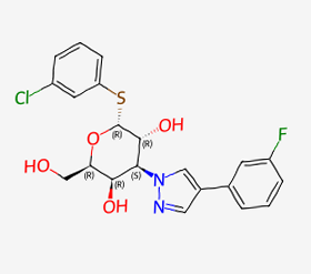 OC[C@H]1O[C@H](Sc2cccc(Cl)c2)[C@H](O)[C@@H](n2cc(-c3cccc(F)c3)cn2)[C@H]1O